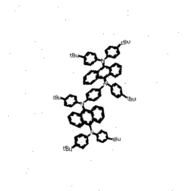 CC(C)(C)c1ccc(N(c2ccc(N(c3ccc(C(C)(C)C)cc3)c3c4ccccc4c(N(c4ccc(C(C)(C)C)cc4)c4ccc(C(C)(C)C)cc4)c4ccccc34)cc2)c2c3ccccc3c(N(c3ccc(C(C)(C)C)cc3)c3ccc(C(C)(C)C)cc3)c3ccccc23)cc1